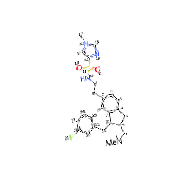 CNCC1Cc2ccc(CCNS(=O)(=O)c3cn(C)cn3)cc2C1Cc1cccc(F)c1